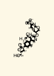 CN(C)c1nc(O[C@@H]2COc3nc([N+](=O)[O-])cn3C2)ncc1-c1ccc(N2C[C@H](CO)OC2=O)cc1F